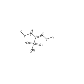 CCN=C(NCC)S(=O)(=O)O